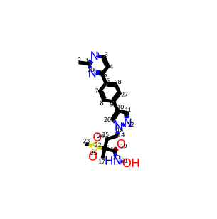 Cc1nccc(-c2ccc(-c3cnn(CCC(C)(C(=O)NO)S(C)(=O)=O)c3)cc2)n1